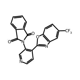 O=C1c2ccccc2C(=O)N1c1cnccc1-c1nc2cc(C(F)(F)F)ccc2o1